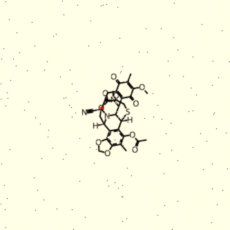 COC1=C(C)C(=O)C2=C(C1=O)C1C3[C@@H]4SCC(=O)C(=O)OC[C@@H](c5c6c(c(C)c(OC(C)=O)c54)OCO6)N3[C@@H](C#N)C(C2)N1C